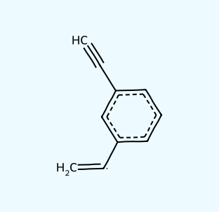 C#Cc1cccc([C]=C)c1